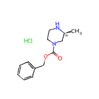 C[C@H]1CN(C(=O)OCc2ccccc2)CCN1.Cl